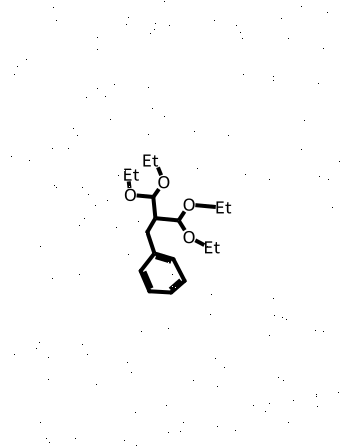 CCOC(OCC)C(Cc1ccccc1)C(OCC)OCC